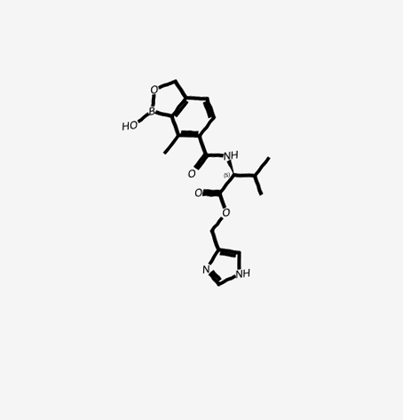 Cc1c(C(=O)N[C@H](C(=O)OCc2c[nH]cn2)C(C)C)ccc2c1B(O)OC2